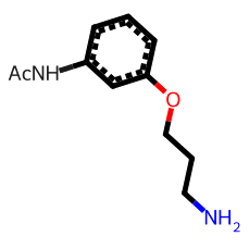 CC(=O)Nc1cccc(OCCCN)c1